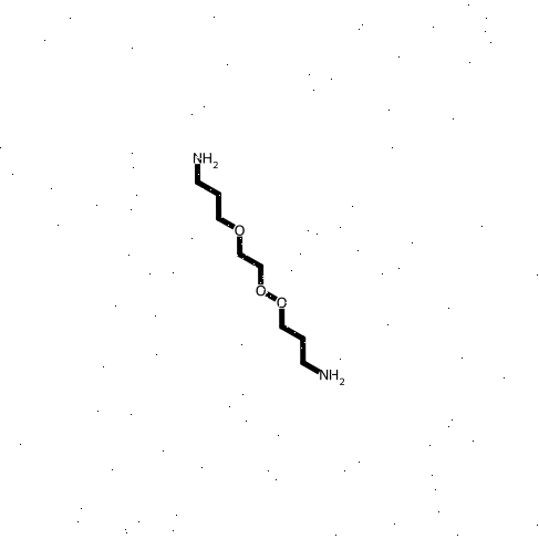 NCCCOCCOOCCCN